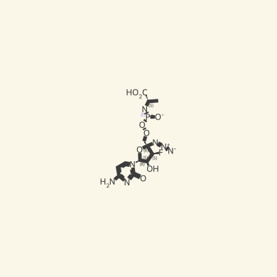 C[C@H](/N=[P+](\[O-])OOC[C@@]1(N=[N+]=[N-])O[C@@H](n2ccc(N)nc2=O)[C@H](O)[C@@H]1F)C(=O)O